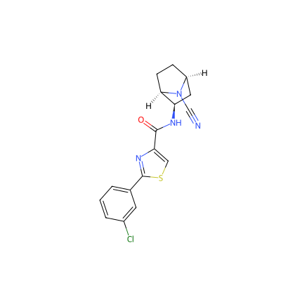 N#CN1[C@H]2CC[C@@H]1[C@H](NC(=O)c1csc(-c3cccc(Cl)c3)n1)C2